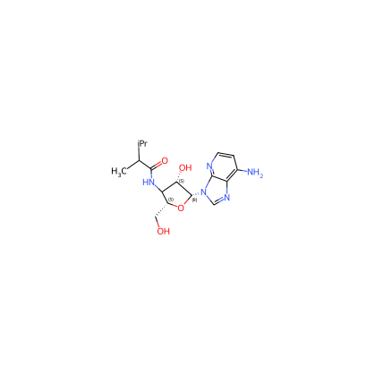 CC(C)C(C)C(=O)NC1[C@@H](CO)O[C@@H](n2cnc3c(N)ccnc32)[C@H]1O